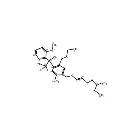 CCCCc1cc(CC/C=C/CCC(C)CC)c(C)cc1C(O)(c1ccccc1SC)C(F)(F)F